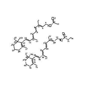 CC(=O)OCC=C(C)C=CC=C(C)C=CC1=C(C)CCCC1(C)C.CCC(=O)OCC=C(C)C=CC=C(C)C=CC1=C(C)CCCC1(C)C